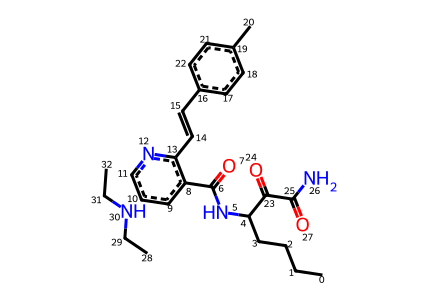 CCCCC(NC(=O)c1cccnc1C=Cc1ccc(C)cc1)C(=O)C(N)=O.CCNCC